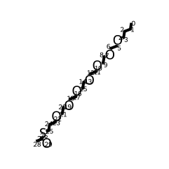 CCCCOCCOCCOCCOCCOCCOCCOCCCSC(C)=O